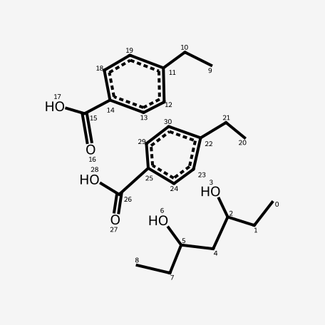 CCC(O)CC(O)CC.CCc1ccc(C(=O)O)cc1.CCc1ccc(C(=O)O)cc1